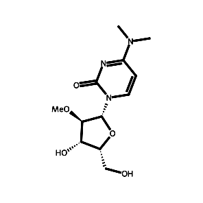 CO[C@@H]1[C@@H](O)[C@@H](CO)O[C@H]1n1ccc(N(C)C)nc1=O